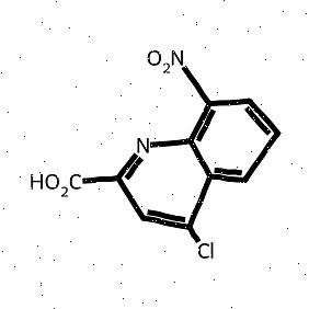 O=C(O)c1cc(Cl)c2cccc([N+](=O)[O-])c2n1